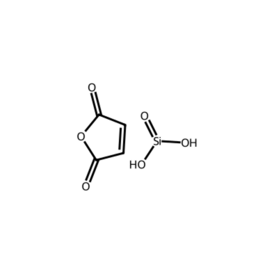 O=C1C=CC(=O)O1.O=[Si](O)O